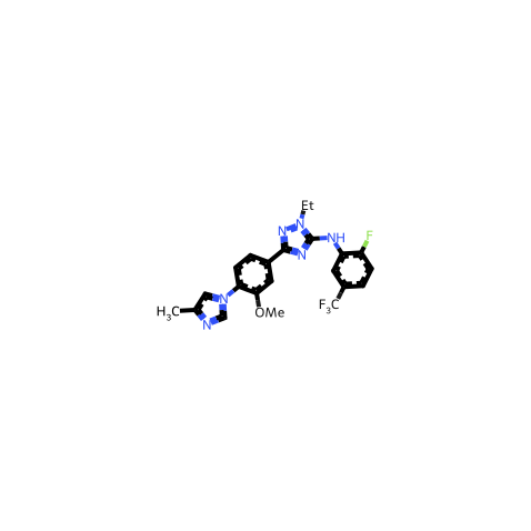 CCn1nc(-c2ccc(-n3cnc(C)c3)c(OC)c2)nc1Nc1cc(C(F)(F)F)ccc1F